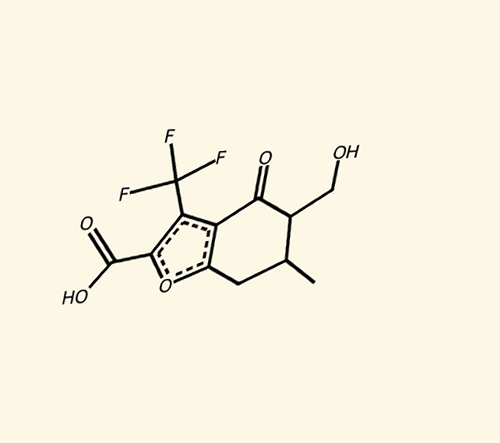 CC1Cc2oc(C(=O)O)c(C(F)(F)F)c2C(=O)C1CO